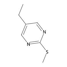 CCc1cnc(SC)nc1